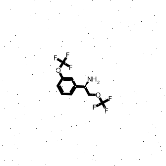 N[C@@H](COC(F)(F)F)c1cccc(OC(F)(F)F)c1